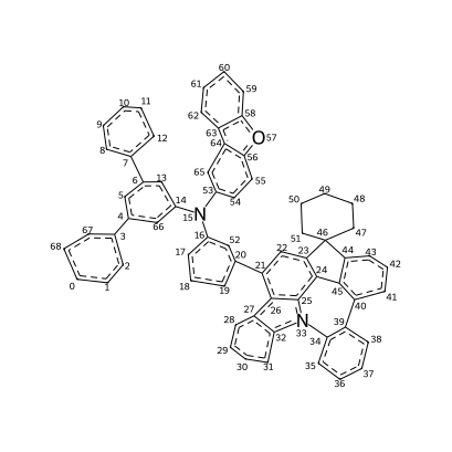 c1ccc(-c2cc(-c3ccccc3)cc(N(c3cccc(-c4cc5c6c7c4c4ccccc4n7-c4ccccc4-c4cccc(c4-6)C54CCCCC4)c3)c3ccc4oc5ccccc5c4c3)c2)cc1